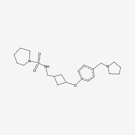 O=S(=O)(NCC1CC(Oc2ccc(CN3CCCC3)cc2)C1)N1CCCCC1